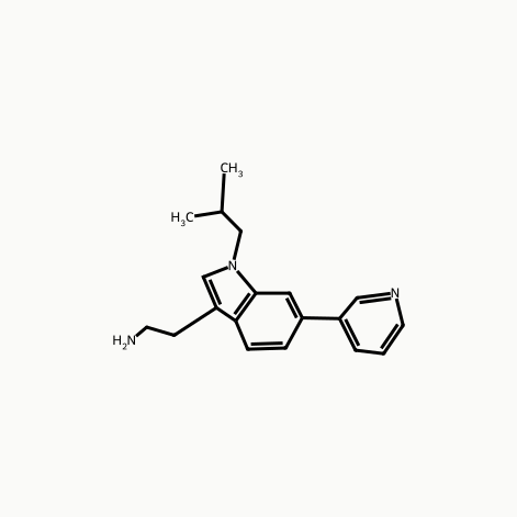 CC(C)Cn1cc(CCN)c2ccc(-c3cccnc3)cc21